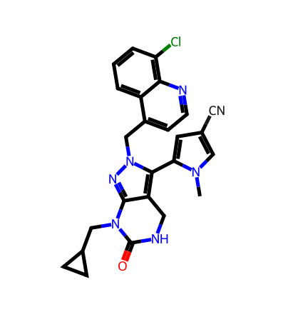 Cn1cc(C#N)cc1-c1c2c(nn1Cc1ccnc3c(Cl)cccc13)N(CC1CC1)C(=O)NC2